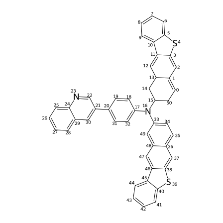 C1=C2C=c3sc4ccccc4c3=CC2CC(N(c2ccc(-c3cnc4ccccc4c3)cc2)c2ccc3cc4sc5ccccc5c4cc3c2)C1